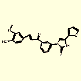 COc1cc(/C=C/C(=O)c2cccc(-n3cc(-c4cccs4)[nH]c3=O)c2)ccc1O